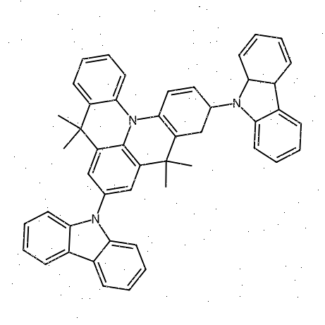 CC1(C)C2=C(C=CC(N3c4ccccc4C4C=CC=CC43)C2)N2c3ccccc3C(C)(C)c3cc(-n4c5ccccc5c5ccccc54)cc1c32